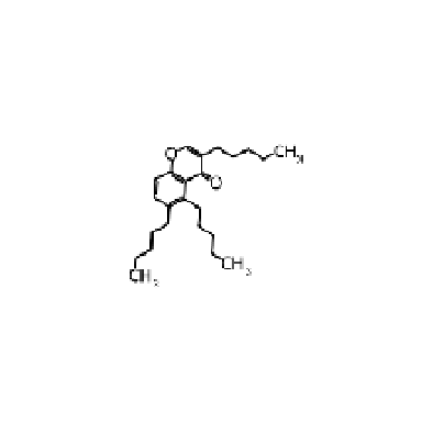 CCCCCc1ccc2occ(CCCCC)c(=O)c2c1CCCCC